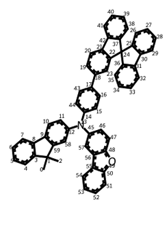 CC1(C)c2ccccc2-c2ccc(N(c3ccc(-c4ccc5c(c4)C4(c6ccccc6-c6ccccc64)c4ccccc4-5)cc3)c3ccc4oc5ccccc5c4c3)cc21